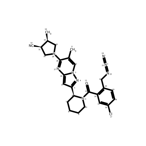 Cc1cn2nc([C@@H]3CCCCN3C(=O)c3cc(Cl)ccc3CN=[N+]=[N-])cc2nc1N1C[C@@H](C#N)[C@@H](C)C1